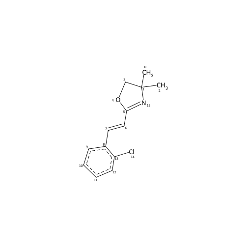 CC1(C)COC(C=Cc2ccccc2Cl)=N1